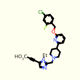 CCn1c(C#CC(=O)O)cnc1CN1CCC(c2cccc(OCc3ccc(Cl)cc3F)n2)CC1